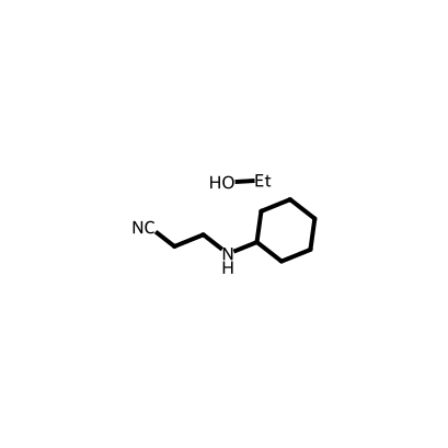 CCO.N#CCCNC1CCCCC1